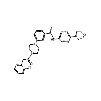 O=C(Nc1ccc(N2CCOCC2)cc1)c1cccc(N2CCN(C(=O)Cc3ccccc3Cl)CC2)c1